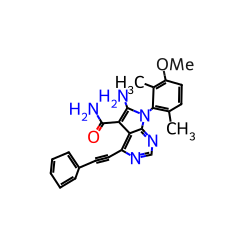 COc1ccc(C)c(-n2c(N)c(C(N)=O)c3c(C#Cc4ccccc4)ncnc32)c1C